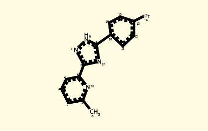 Cc1cccc(-c2n[nH]c(-c3ccc(C(C)C)cc3)n2)n1